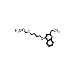 CCc1cc(OCCCCOCOC)c2ccccc2n1